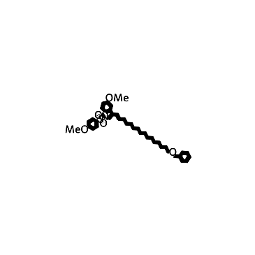 COc1ccc(S(=O)(=O)n2cc(C=CCCCCCCCCCCCCCCOCc3ccccc3)c3cc(OC)ccc32)cc1